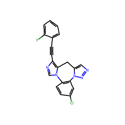 Fc1ccccc1C#Cc1ncn2c1Cc1cnnn1-c1cc(Cl)ccc1-2